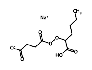 CCCCC(OOC(=O)CCC(=O)[O-])C(=O)O.[Na+]